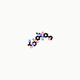 C=N/C=N\C(Nc1cc(-c2ccco2)ccc1OC)=C1\C=C(OC2CCN(C(=O)C(=C)C#N)CC2)C(OC)=CC1